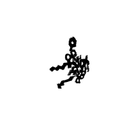 C=CCCCC[C@H](NC(=O)C1[C@@H]2C(CN1C(=O)C(NC(=O)OCc1ccccc1)C(C)(C)CCCCC=C)C2(C)C)C(=O)OC